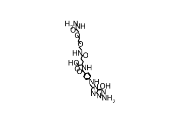 NNC(=O)COCCOCCNC(=O)CCC(NC(=O)c1ccc(NCc2cnc3nc(N)nc(O)c3n2)cc1)C(=O)O